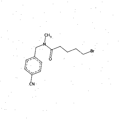 CN(Cc1ccc(C#N)cc1)C(=O)CCCCBr